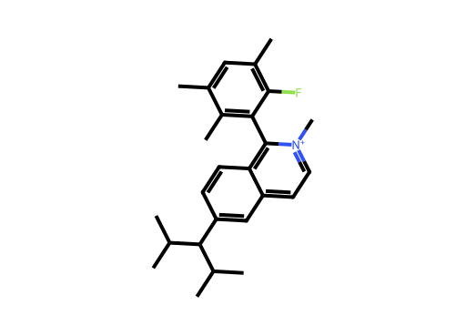 Cc1cc(C)c(F)c(-c2c3ccc(C(C(C)C)C(C)C)cc3cc[n+]2C)c1C